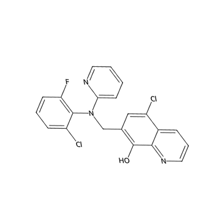 Oc1c(CN(c2ccccn2)c2c(F)cccc2Cl)cc(Cl)c2cccnc12